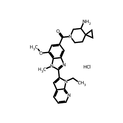 CCn1c(-c2nc3cc(C(=O)N4CCC5(CC5)C(N)C4)cc(OC)c3n2C)cc2cccnc21.Cl